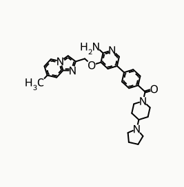 Cc1ccn2cc(COc3cc(-c4ccc(C(=O)N5CCC(N6CCCC6)CC5)cc4)cnc3N)nc2c1